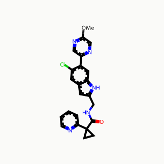 COc1cnc(-c2cc3[nH]c(CNC(=O)C4(c5ccccn5)CC4)cc3cc2Cl)cn1